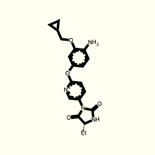 CC[C@H]1NC(=O)N(c2ccc(Oc3ccc(N)c(OCC4CC4)c3)nc2)C1=O